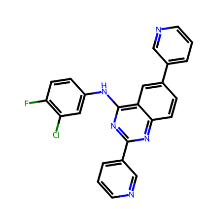 Fc1ccc(Nc2nc(-c3cccnc3)nc3ccc(-c4cccnc4)cc23)cc1Cl